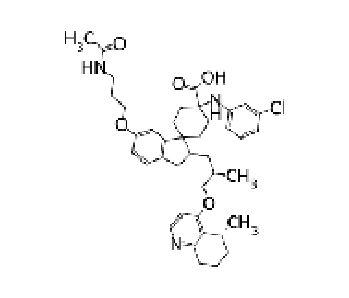 CC(=O)NCCCOc1ccc2c(c1)C1(CCC(Nc3cccc(Cl)c3)(C(=O)O)CC1)[C@@H](C[C@@H](C)COc1ccnc3c1[C@H](C)CCC3)C2